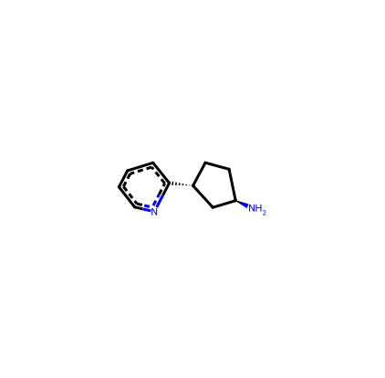 N[C@@H]1CC[C@@H](c2ccccn2)C1